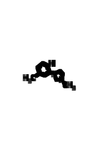 Cc1cccc(N2C=CN(C)C2)c1.I